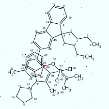 CCCCC1(CCCC)c2ccccc2-c2ccc(-c3cc(C)ccc3[O][Ti]([Cl])([Cl])([C]3=C(C)C(N4CCCC4)c4ccccc43)=[Si](C)C)cc21